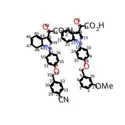 COc1cccc(COc2ccc(-n3cc(C(=O)C(=O)O)c4ccccc43)cc2)c1.N#Cc1ccc(COc2ccc(N3C=C(C(=O)C(=O)O)C4=CC=CCC43)cc2)cc1